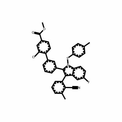 COC(=O)c1ccc(-c2cccc(-c3c(-c4cccc(C)c4C#N)c4cc(F)ccc4n3Sc3ccc(C)cc3)c2)c(Cl)c1